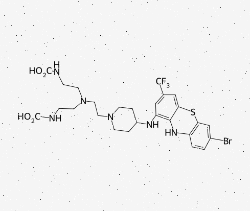 O=C(O)NCCN(CCNC(=O)O)CCN1CCC(Nc2cc(C(F)(F)F)cc3c2Nc2ccc(Br)cc2S3)CC1